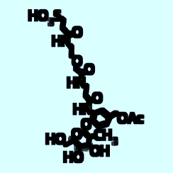 CC(=O)OCc1ccc(O[C@@H]2O[C@H](CO)[C@H](O)[C@H](O)C2C)c(NC(=O)CCNC(=O)COCCNC(=O)CCS(=O)(=O)O)c1